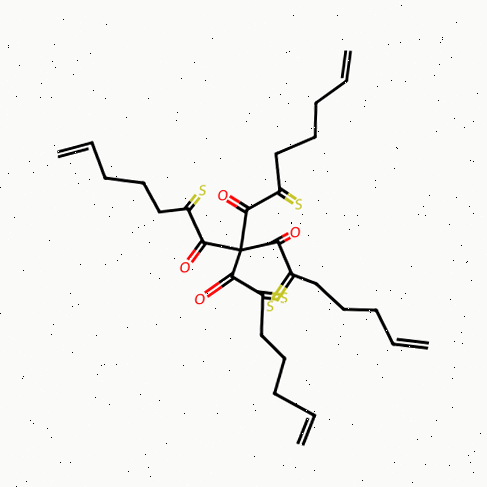 C=CCCCC(=S)C(=O)C(C(=O)C(=S)CCCC=C)(C(=O)C(=S)CCCC=C)C(=O)C(=S)CCCC=C